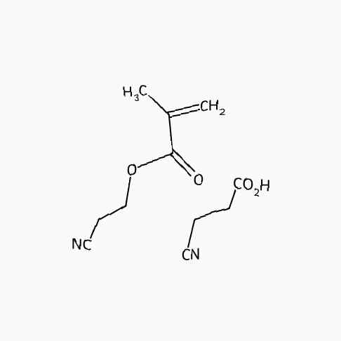 C=C(C)C(=O)OCCC#N.N#CCCC(=O)O